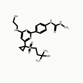 CNC(=O)Nc1ccc(-c2nc(NCCO)cc(C3(S(=O)(=O)CCC(C)(C)O)CC3)n2)cc1